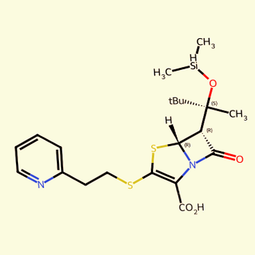 C[SiH](C)O[C@@](C)([C@@H]1C(=O)N2C(C(=O)O)=C(SCCc3ccccn3)S[C@H]12)C(C)(C)C